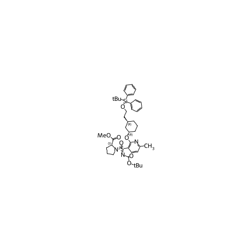 COC(=O)[C@@H]1CCCN1[S@@](=O)(=NC(=O)OC(C)(C)C)c1ccc(C)nc1O[C@@H]1CCC[C@H](CCO[Si](c2ccccc2)(c2ccccc2)C(C)(C)C)C1